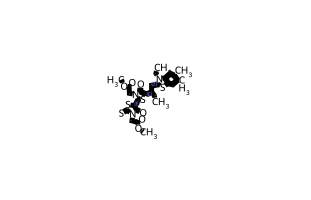 CCC(/C=C1\Sc2cc(C)c(C)cc2N1CC)=c1\s/c(=C2/SC(=S)N(CC(=O)OC)C2=O)n(CC(=O)OC)c1=O